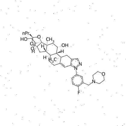 CCC[C@@H]1O[C@@H]2C[C@H]3[C@@H]4CCC5=Cc6c(cnn6-c6ccc(F)c(CN7CCOCC7)c6)C[C@]5(C)[C@H]4[C@@H](O)C[C@]3(C)[C@]2(C(=O)CO)O1